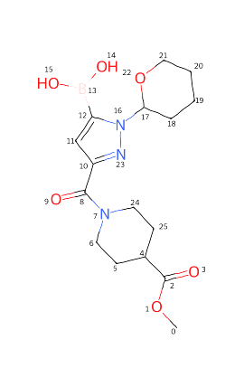 COC(=O)C1CCN(C(=O)c2cc(B(O)O)n(C3CCCCO3)n2)CC1